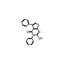 O=c1c2c(-c3ccccc3)csc2nc(S)n1-c1ccccc1